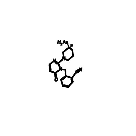 N#Cc1ccccc1Cn1c(N2CCC[C@@H]([AsH2])C2)nccc1=O